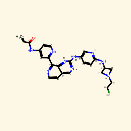 C=CC(=O)Nc1ccnc(-c2nccc3cnc(Nc4ccc(NC5CN(CCF)C5)nc4)nc23)c1